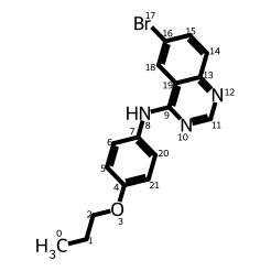 CCCOc1ccc(Nc2ncnc3ccc(Br)cc23)cc1